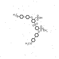 COc1ccc(-c2ccc(Oc3ccc(S(=O)(=O)c4ccc(Oc5ccc(-c6ccc(OC)cc6)cc5)c(S(=O)(=O)OC)c4)cc3CS(=O)(=O)O)cc2)cc1